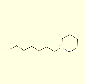 Br.BrCCCCCCN1CCCCC1